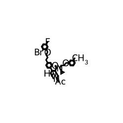 CC(=O)N1CC2CC(c3ccc(CCCOc4cc(F)ccc4Br)cc3)=C(C(=O)N(CCOc3cccc(C)c3)C3CC3)C(C1)N2